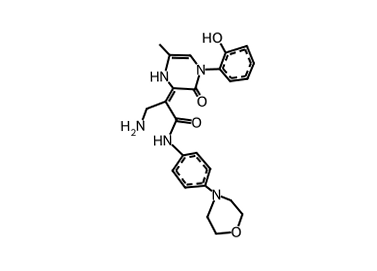 CC1=CN(c2ccccc2O)C(=O)/C(=C(/CN)C(=O)Nc2ccc(N3CCOCC3)cc2)N1